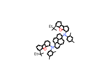 CCC(C)(C)c1cccc2c1oc1c(N(c3ccc(C)cc3C)c3ccc4ccc5c(N(c6ccc(C)cc6C)c6cccc7c6oc6c(C(C)(C)CC)cccc67)ccc6ccc3c4c65)cccc12